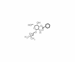 C[Si](C)(C)CCO[C@@H]1O[C@H](CO)[C@H](O)[C@H](OC(=O)c2ccccc2)[C@H]1O